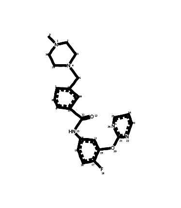 CN1CCN(Cc2cccc(C(=O)Nc3ccc(F)c(Oc4ncccn4)c3)c2)CC1